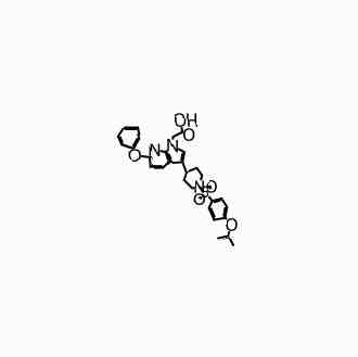 CC(C)Oc1ccc(S(=O)(=O)N2CCC(c3cn(CC(=O)O)c4nc(Oc5ccccc5)ccc34)CC2)cc1